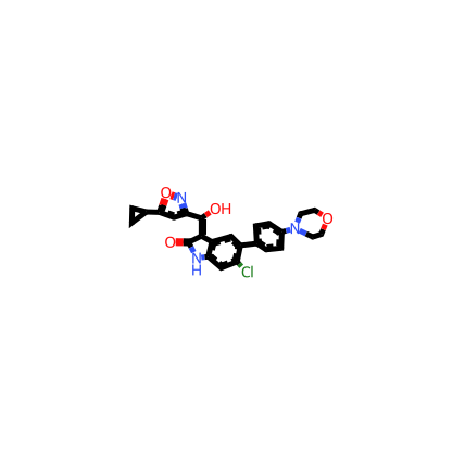 O=C1Nc2cc(Cl)c(-c3ccc(N4CCOCC4)cc3)cc2C1=C(O)c1cc(C2CC2)on1